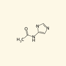 CC(=O)NC1=CN=C[N]1